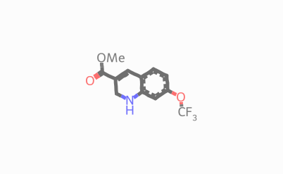 COC(=O)C1=Cc2ccc(OC(F)(F)F)cc2NC1